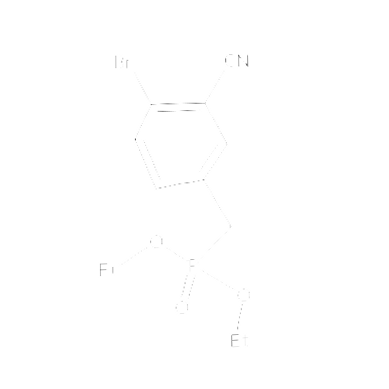 CCOP(=O)(Cc1ccc(Br)c(C#N)c1)OCC